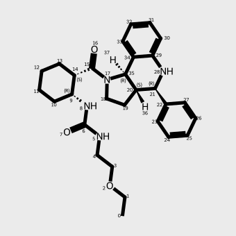 CCOCCNC(=O)N[C@@H]1CCCC[C@@H]1C(=O)N1CC[C@H]2[C@H](c3ccccc3)Nc3ccccc3[C@@H]21